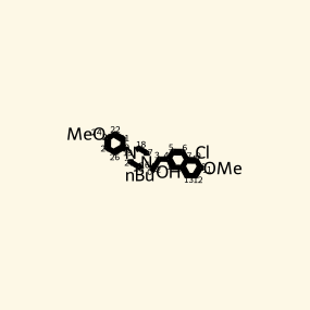 CCCCC(O)(Cc1ccc2c(Cl)c(OC)ccc2c1)N1CCN(c2ccc(OC)cc2)CC1